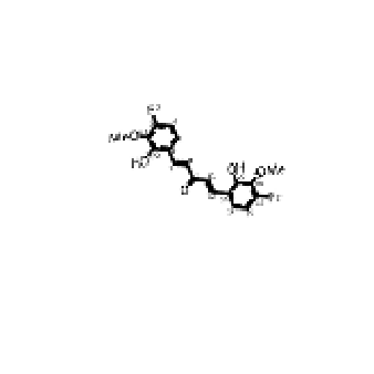 COc1c(F)ccc(/C=C/C(=O)/C=C/c2ccc(F)c(OC)c2O)c1O